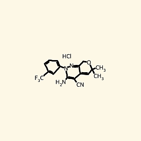 CC1(C)C=C2C(=NN(c3cccc(C(F)(F)F)c3)C(N)=C2C#N)CO1.Cl